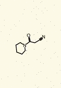 N#CCC(=O)N1[CH]CCCC1